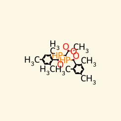 COC(=O)C(PC(=O)c1c(C)cc(C)cc1C)PC(=O)c1c(C)cc(C)cc1C